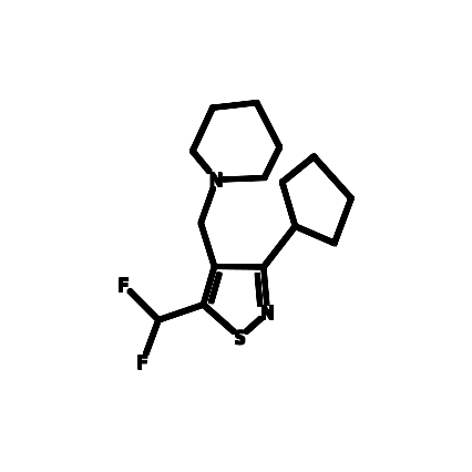 FC(F)c1snc(C2CCCC2)c1CN1CCCCC1